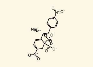 O=[N+]([O-])C1=CC=C(C=Cc2ccc([N+](=O)[O-])cc2)C(S(=O)(=O)[O-])(S(=O)(=O)[O-])C1.[Na+].[Na+]